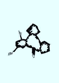 O=c1c2ccccc2c2ccccc2c2c(Br)cc(Br)cc12